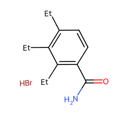 Br.CCc1ccc(C(N)=O)c(CC)c1CC